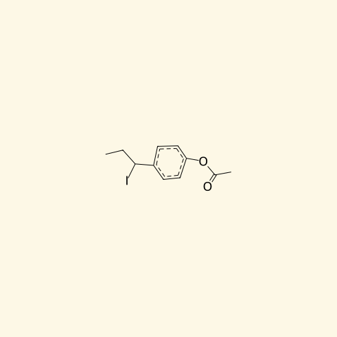 CCC(I)c1ccc(OC(C)=O)cc1